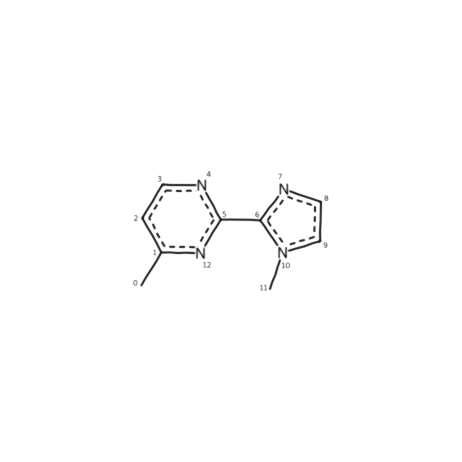 Cc1ccnc(-c2nccn2C)n1